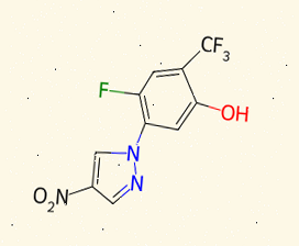 O=[N+]([O-])c1cnn(-c2cc(O)c(C(F)(F)F)cc2F)c1